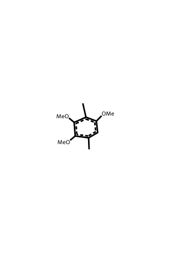 COc1cc(C)c(OC)c(OC)c1C